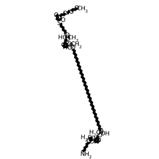 C=P(O)(OCCCCCCCCCCCCCCCCCCCCCCCCCCCCCCCCCCCCCCCCCOP(=C)(O)OC1CCOC1COP(=C)(O)OCCCCCCSC1CC(=O)N(CCOCCOCCOC)C1=O)OCC1OCCC1OP(=C)(O)OCCCCCCN